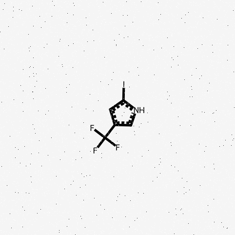 FC(F)(F)c1c[nH]c(I)c1